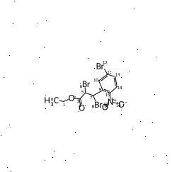 CCOC(=O)C(Br)C(Br)c1cc(Br)ccc1[N+](=O)[O-]